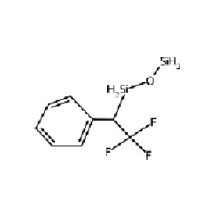 FC(F)(F)C([SiH2]O[SiH3])c1ccccc1